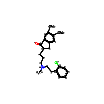 COc1cc2c(cc1OC)C(=O)C(CCCN(C)CCc1ccccc1Cl)C2